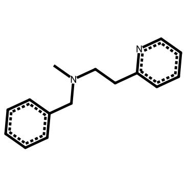 CN(CCc1ccccn1)Cc1ccccc1